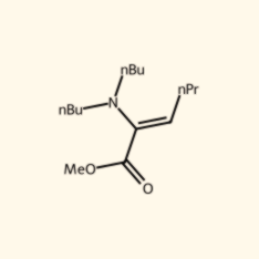 CCCC=C(C(=O)OC)N(CCCC)CCCC